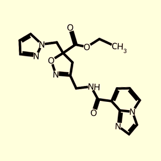 CCOC(=O)C1(Cn2cccn2)CC(CNC(=O)c2cccn3ccnc23)=NO1